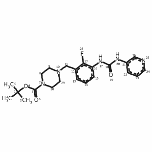 CC(C)(C)OC(=O)N1CCN(Cc2cccc(NC(=O)Nc3cccnc3)c2F)CC1